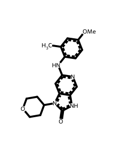 COc1ccc(Nc2cc3c(cn2)[nH]c(=O)n3C2CCOCC2)c(C)c1